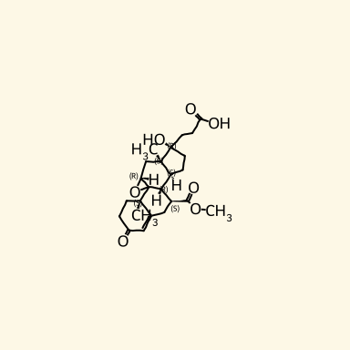 COC(=O)[C@H]1CC2=CC(=O)CC[C@]2(C)C23O[C@@H]2C[C@@]2(C)[C@@H](CC[C@@]2(O)CCC(=O)O)[C@H]13